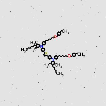 C=Cc1ccc(COCCCCCCc2ccc(N(c3ccc(-c4ccc(-c5ccc(N(c6ccc(CCCCCCOCc7ccc(C=C)cc7)cc6)c6cc(C)c(CCCCCC)c(C)c6)cc5)s4)cc3)c3cc(C)c(CCCCCC)c(C)c3)cc2)cc1